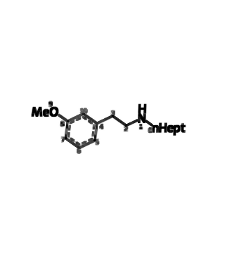 CCCCCCCNCCc1cccc(OC)c1